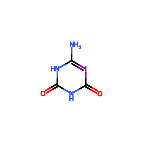 NC1=IC(=O)NC(=O)N1